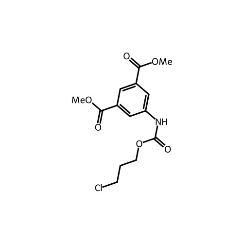 COC(=O)c1cc(NC(=O)OCCCCl)cc(C(=O)OC)c1